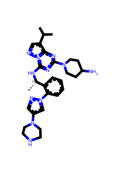 CC(C)c1cnn2c(N[C@@H](C)c3ccccc3-n3cc(N4CCNCC4)cn3)nc(N3CCC(N)CC3)nc12